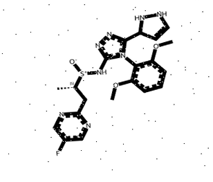 COc1cccc(OC)c1-n1c(N[S+]([O-])[C@@H](C)Cc2ncc(F)cn2)nnc1C1C=CNN1